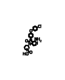 Nc1nccc2c1n(-c1ccc(Oc3ccc(Cl)cc3)cc1)c(=O)n2C1CCCN(C(=O)O)C1